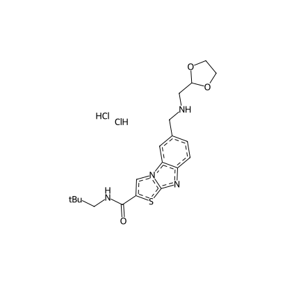 CC(C)(C)CNC(=O)c1cn2c(nc3ccc(CNCC4OCCO4)cc32)s1.Cl.Cl